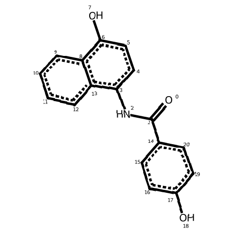 O=C(Nc1ccc(O)c2ccccc12)c1ccc(O)cc1